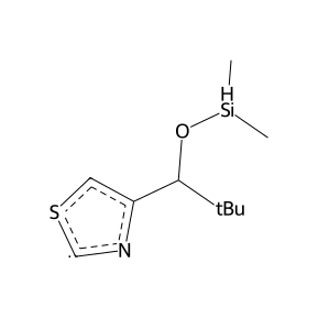 C[SiH](C)OC(c1cs[c]n1)C(C)(C)C